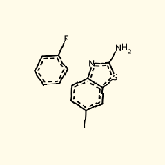 Cc1ccc2nc(N)sc2c1.Fc1ccccc1